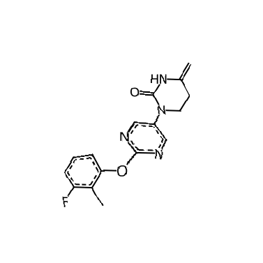 C=C1CCN(c2cnc(Oc3cccc(F)c3C)nc2)C(=O)N1